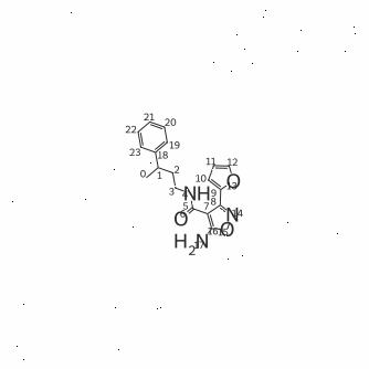 CC(CCNC(=O)c1c(-c2ccco2)noc1N)c1ccccc1